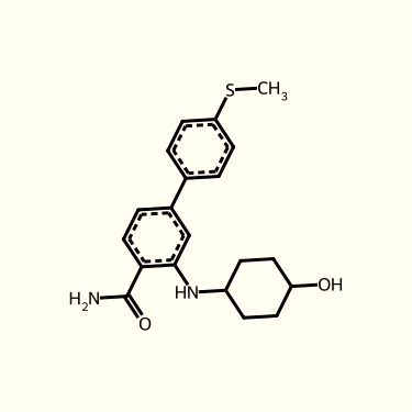 CSc1ccc(-c2ccc(C(N)=O)c(NC3CCC(O)CC3)c2)cc1